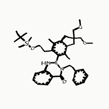 COCC1(COC)Cc2c(C)c(CCO[Si](C)(C)C(C)(C)C)c(B3Nc4ccccc4C(=O)N3Cc3ccccc3)c(C)c2C1